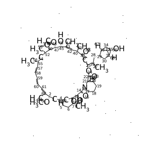 CO[C@H]1C[C@@H]2CC[C@@H](C)[C@@](O)(C2)C(=O)C(=O)N2CCCC[C@H]2C(=O)O[C@H]([C@H](C)C[C@H]2C[C@H]3C[C@@H]2C[C@@H]3O)CC(=O)[C@H](C)/C=C(\C)[C@@H](O)[C@@H](OC)C(=O)[C@H](C)C[C@H](C)/C=C/C=C/C=C/1C